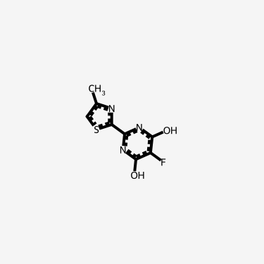 Cc1csc(-c2nc(O)c(F)c(O)n2)n1